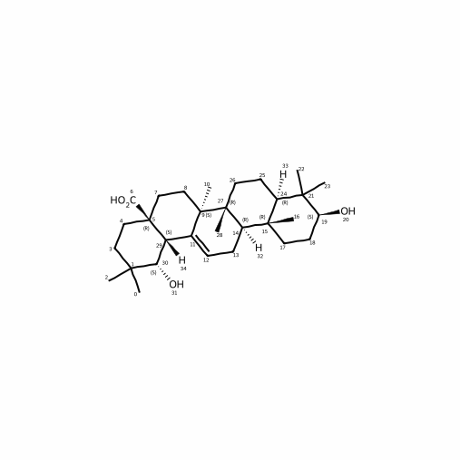 CC1(C)CC[C@]2(C(=O)O)CC[C@]3(C)C(=CC[C@@H]4[C@@]5(C)CC[C@H](O)C(C)(C)[C@@H]5CC[C@]43C)[C@@H]2[C@@H]1O